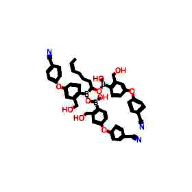 C/C=C\CCCC(OB(O)c1ccc(Oc2ccc(C#N)cc2)cc1CO)B(OB(O)c1ccc(Oc2ccc(C#N)cc2)cc1CO)c1ccc(Oc2ccc(C#N)cc2)cc1CO